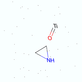 C1CN1.[O]=[Ti]